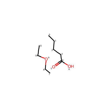 CCCCC(=O)O.CCOCC